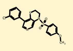 COc1ccc(S(=O)(=O)N2CCSc3c(-c4cccc(Cl)c4)cncc32)cc1